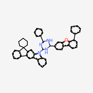 c1ccc(C2=NC(n3c4ccccc4c4cc5c(cc43)C3(CCCCC3)c3ccccc3-5)NC(c3ccc4c(c3)oc3c(-c5ccccc5)cccc34)N2)cc1